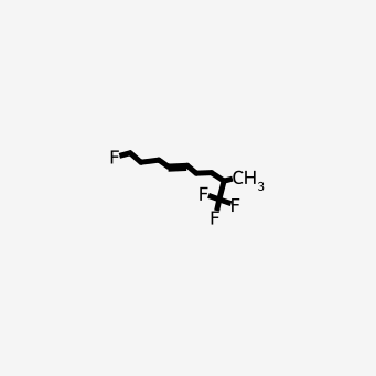 CC(CCC=CCCCF)C(F)(F)F